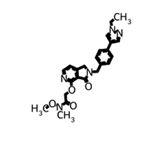 CCn1cc(-c2ccc(CN3Cc4ccnc(OCC(=O)N(C)OC)c4C3=O)cc2)cn1